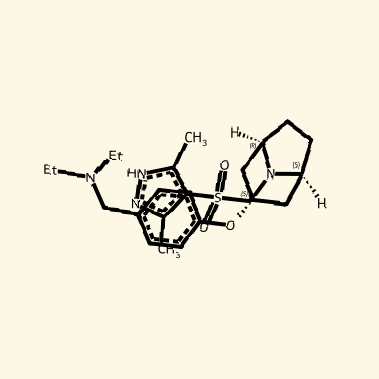 CCN(CC)Cc1ccc(O[C@@H]2C[C@H]3CC[C@@H](C2)N3CS(=O)(=O)c2c(C)n[nH]c2C)cc1